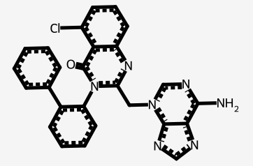 Nc1ncn(Cc2nc3cccc(Cl)c3c(=O)n2-c2ccccc2-c2ccccc2)c2ncnc1-2